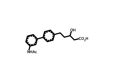 CC(=O)Nc1cccc(-c2ccc(CCC(O)CC(=O)O)cc2)c1